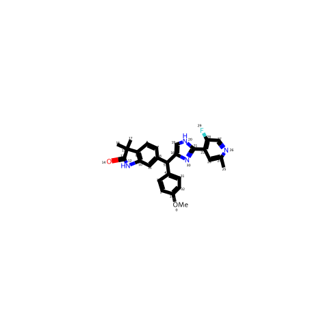 COc1ccc(C(c2ccc3c(c2)NC(=O)C3(C)C)c2c[nH]c(-c3cc(C)ncc3F)n2)cc1